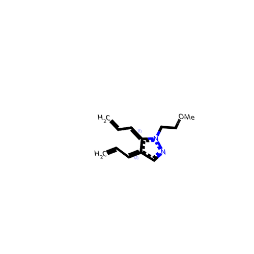 C=C/C=c1/cnn(CCOC)/c1=C/C=C